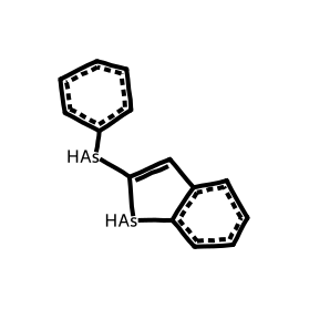 C1=C([AsH]c2ccccc2)[AsH]c2ccccc21